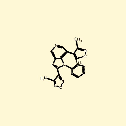 Cc1noc(C)c1-c1cncc2nc(-c3nonc3N)n(-c3ccccc3)c12